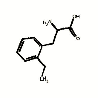 CCc1ccccc1CC(N)C(=O)O